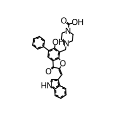 O=C1C(=Cc2c[nH]c3ccccc23)Oc2c1cc(-c1ccccc1)c(O)c2CN1CCN(C(=O)O)CC1